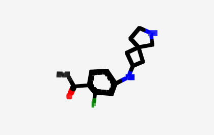 CNC(=O)c1ccc(NC2CC3(CCNC3)C2)cc1F